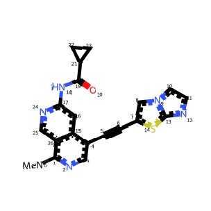 CNc1ncc(C#Cc2cn3ccnc3s2)c2cc(NC(=O)C3CC3)ncc12